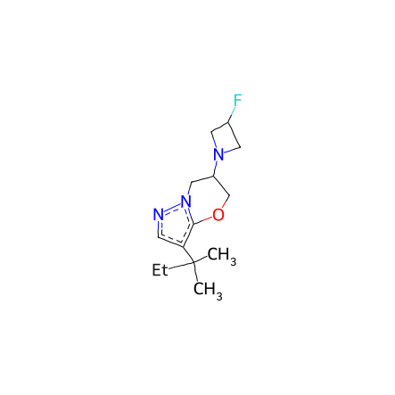 CCC(C)(C)c1cnn2c1OCC(N1CC(F)C1)C2